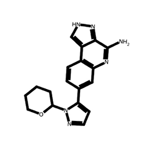 Nc1nc2cc(-c3ccnn3C3CCCCO3)ccc2c2c[nH]nc12